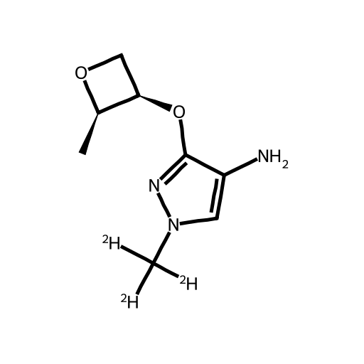 [2H]C([2H])([2H])n1cc(N)c(O[C@@H]2CO[C@@H]2C)n1